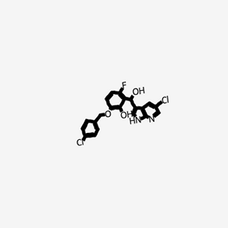 Oc1c(OCc2ccc(Cl)cc2)ccc(F)c1C(O)c1c[nH]c2ncc(Cl)cc12